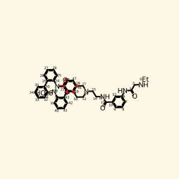 CCNCC(=O)Nc1cccc(C(=O)NCCN2CCC(OC(=O)N(c3ccccc3-c3ccccc3)N(C(=O)O)c3ccccc3-c3ccccc3)CC2)c1